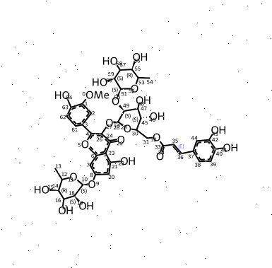 COc1cc(-c2oc3cc(O[C@@H]4OC(C)[C@H](O)C(O)[C@@H]4O)cc(O)c3c(=O)c2O[C@@H]2OC(COC(=O)/C=C/c3ccc(O)c(O)c3)[C@@H](O)C(O)[C@@H]2O[C@@H]2OC(C)[C@H](O)C(O)[C@@H]2O)ccc1O